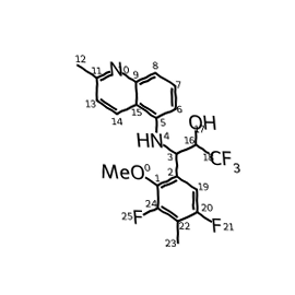 COc1c(C(Nc2cccc3nc(C)ccc23)C(O)C(F)(F)F)cc(F)c(C)c1F